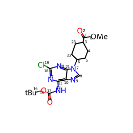 COC(=O)C1CCC(n2cnc3c(NC(=O)OC(C)(C)C)nc(Cl)nc32)CC1